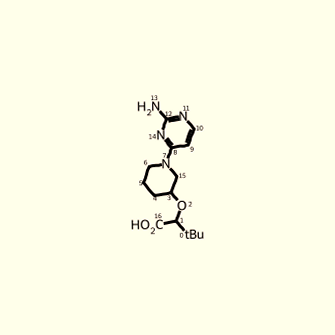 CC(C)(C)C(OC1CCCN(c2ccnc(N)n2)C1)C(=O)O